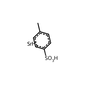 Cc1ccc(S(=O)(=O)O)cc1.[SrH2]